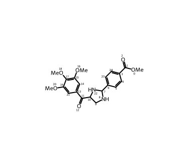 COC(=O)c1ccc(C2NCC(C(=O)c3cc(OC)c(OC)c(OC)c3)N2)cc1